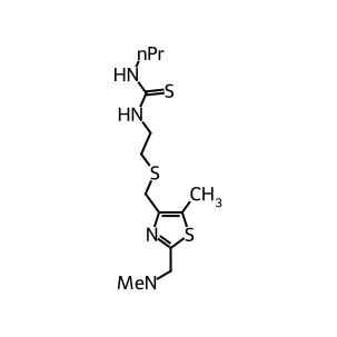 CCCNC(=S)NCCSCc1nc(CNC)sc1C